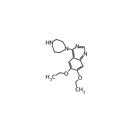 CCOc1cc2ncnc(N3CCNCC3)c2cc1OCC